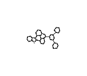 c1ccc(-c2cc(-c3ccccc3)cc(-c3cc4cccc5c6c7ccccc7sc6c6cccc3c6c45)c2)cc1